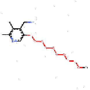 CCOOOOOOOOOOc1cnc(C)c(C)c1CN